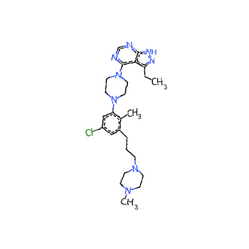 CCc1n[nH]c2ncnc(N3CCN(c4cc(Cl)cc(CCCN5CCN(C)CC5)c4C)CC3)c12